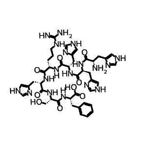 N=C(N)NCCC[C@H](NC(=O)[C@H](Cc1c[nH]cn1)NC(=O)[C@H](Cc1c[nH]cn1)NC(=O)[C@@H](N)Cc1c[nH]cn1)C(=O)N[C@@H](Cc1c[nH]cn1)C(=O)N[C@@H](CO)C(=O)N[C@@H](Cc1ccccc1)C(=O)O